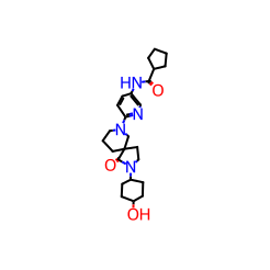 O=C(Nc1ccc(N2CCCC3(CCN(C4CCC(O)CC4)C3=O)C2)nc1)C1CCCC1